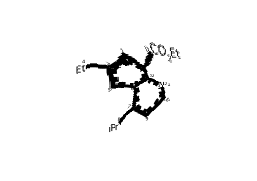 CCOC(=O)c1cc(CC)cc2c(C(C)C)ccnc12